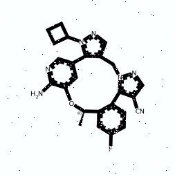 C[C@H]1Oc2cc(cnc2N)-c2c(cnn2C2CCC2)Cn2ncc(C#N)c2-c2ccc(F)cc21